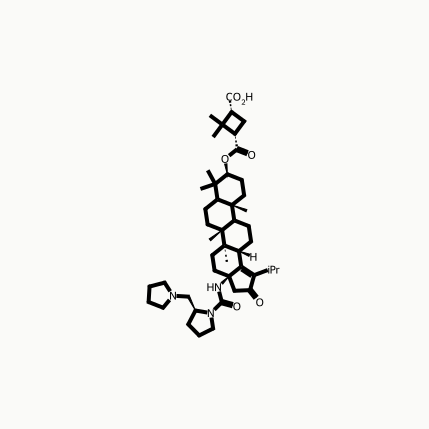 CC(C)C1=C2[C@H]3CCC4[C@@]5(C)CC[C@H](OC(=O)[C@H]6C[C@@H](C(=O)O)C6(C)C)C(C)(C)C5CC[C@@]4(C)[C@]3(C)CC[C@@]2(NC(=O)N2CCC[C@H]2CN2CCCC2)CC1=O